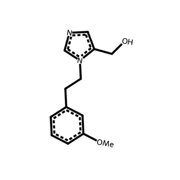 COc1cccc(CCn2cncc2CO)c1